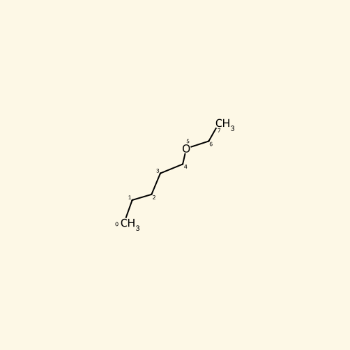 CCCCCOCC